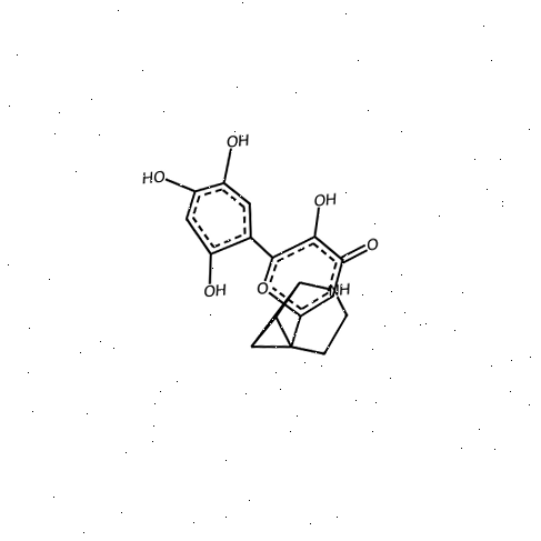 O=c1cc(C23CCNC4C2C43)oc(-c2cc(O)c(O)cc2O)c1O